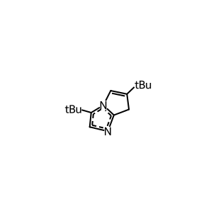 CC(C)(C)C1=Cn2c(C(C)(C)C)cnc2C1